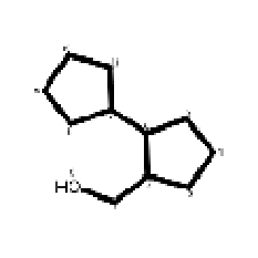 OC[C]1CCCC1C1CCCC1